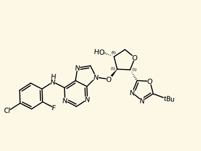 CC(C)(C)c1nnc([C@H]2OC[C@@H](O)[C@@H]2On2cnc3c(Nc4ccc(Cl)cc4F)ncnc32)o1